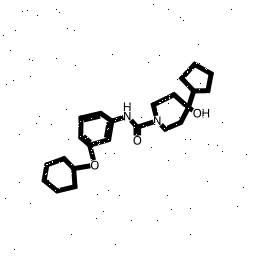 O=C(Nc1cccc(OC2CCCCC2)c1)N1CCC(O)(C2CCCC2)CC1